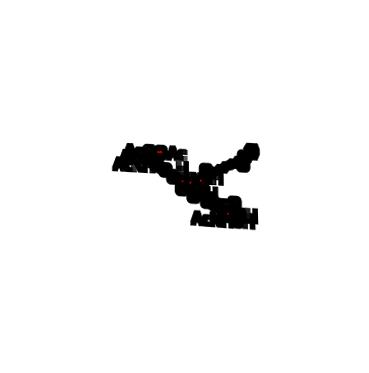 CC(=O)N[C@@H]1C(OCCOCCOCCNC(=O)c2cc(NC(=O)CNC(=O)CCCCCCCCCCC(=O)OCc3ccccc3)cc(C(=O)NCCOCCOCCOC3O[C@H](COC(C)=O)[C@H](OC(C)=O)[C@H](OC(C)=O)[C@H]3NC(C)=O)c2)O[C@@H](COC(C)=O)[C@@H](O)[C@H]1O